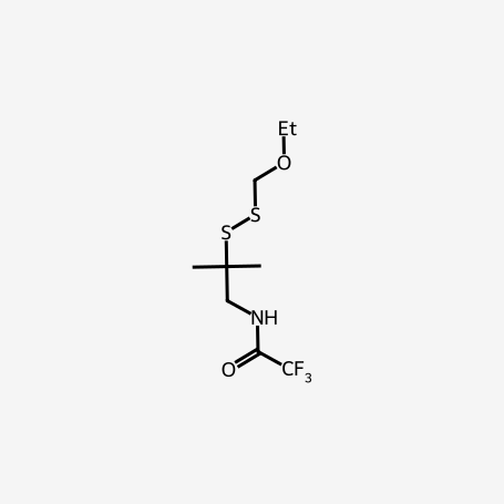 CCOCSSC(C)(C)CNC(=O)C(F)(F)F